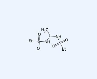 CCS(=O)(=O)NC(C)NS(=O)(=O)CC